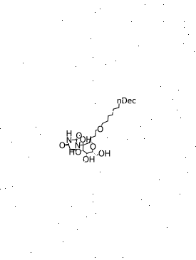 CCCCCCCCCCCCCCCCOCCC[C]1O[C@H](CO)[C@H](O)[C@H](O)[C@]1(O)n1ccc(=O)[nH]c1=O